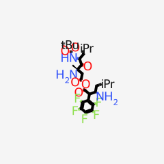 CC(C)CC(NC(=O)OC(C)(C)C)C(=O)[C@@](C)(N)CC(=O)OC(=O)C(c1c(F)c(F)c(F)c(F)c1F)[C@@H](N)CC(C)C